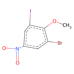 COc1c(Br)cc([N+](=O)[O-])cc1I